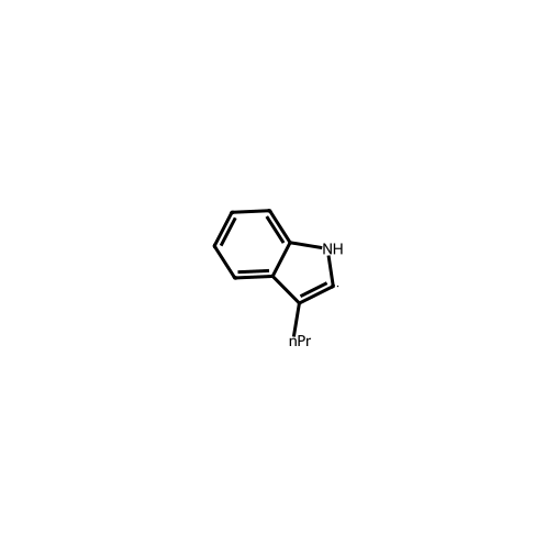 CCCc1[c][nH]c2ccccc12